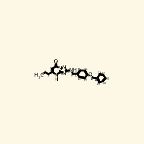 CCCc1cc(=O)n2nc(NCc3ccc(OCc4ccccc4)cc3)nc2[nH]1